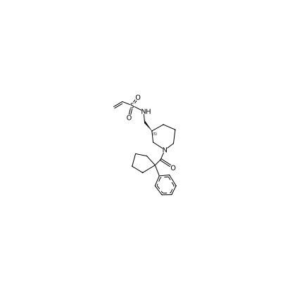 C=CS(=O)(=O)NC[C@H]1CCCN(C(=O)C2(c3ccccc3)CCCC2)C1